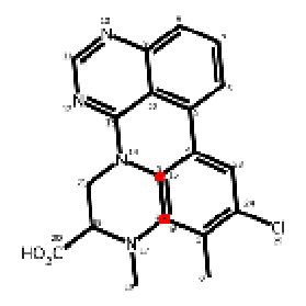 Cc1ccc(-c2cccc3ncnc(N4CCN(C)C(C(=O)O)C4)c23)cc1Cl